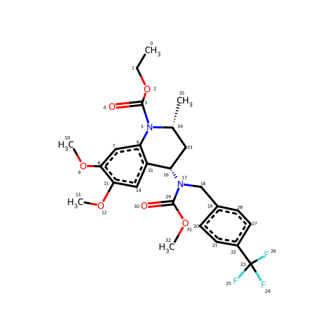 CCOC(=O)N1c2cc(OC)c(OC)cc2[C@@H](N(Cc2ccc(C(F)(F)F)cc2)C(=O)OC)C[C@H]1C